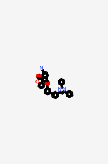 N#Cc1ccc2c(c1)C1(c3ccccc3Oc3ccccc31)c1cc(-c3cccc(-c4cccc(-c5cc(-c6ccccc6)nc(-c6ccccc6)n5)c4)c3)ccc1-2